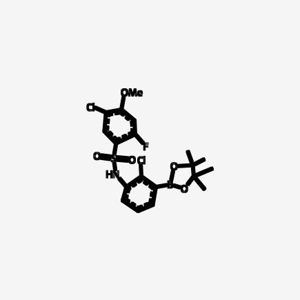 COc1cc(F)c(S(=O)(=O)Nc2cccc(B3OC(C)(C)C(C)(C)O3)c2Cl)cc1Cl